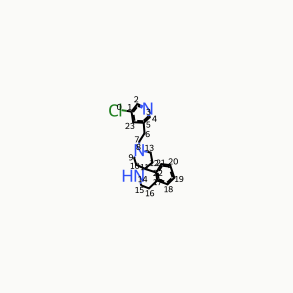 Clc1cncc(CCN2CCC3(CC2)NCCc2ccccc23)c1